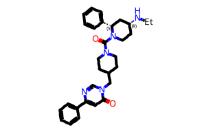 CCN[C@@H]1CCN(C(=O)N2CCC(Cn3cnc(-c4ccccc4)cc3=O)CC2)[C@H](c2ccccc2)C1